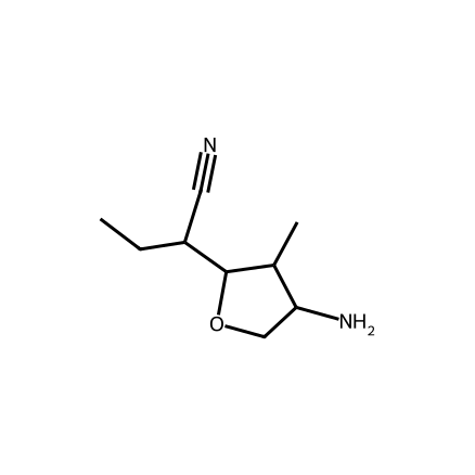 CCC(C#N)C1OCC(N)C1C